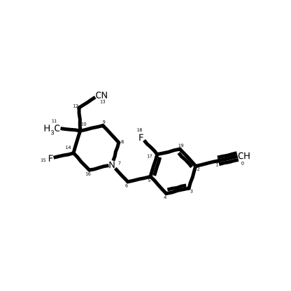 C#Cc1ccc(CN2CCC(C)(CC#N)C(F)C2)c(F)c1